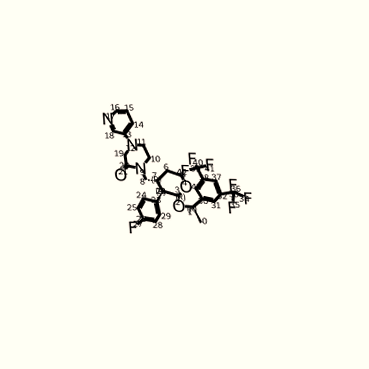 C[C@@H](O[C@H]1OCC[C@@H](CN2CCN(c3cccnc3)CC2=O)[C@@H]1c1ccc(F)cc1)c1cc(C(F)(F)F)cc(C(F)(F)F)c1